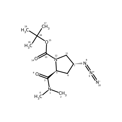 CN(C)C(=O)[C@@H]1C[C@@H](N=[N+]=[N-])CN1C(=O)OC(C)(C)C